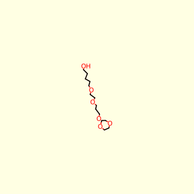 OCCCCCOCCOCCCOC1COCCO1